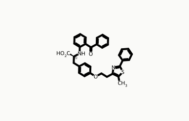 Cc1sc(-c2ccccc2)nc1CCOc1ccc(C[C@H](Nc2ccccc2C(=O)c2ccccc2)C(=O)O)cc1